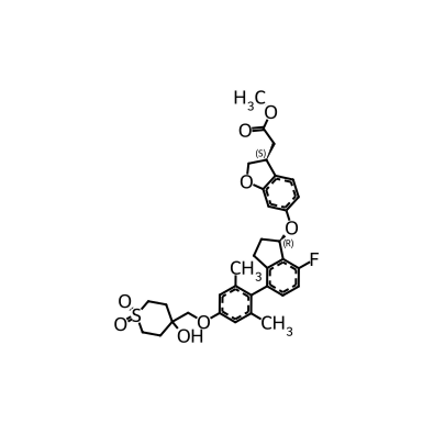 COC(=O)C[C@@H]1COc2cc(O[C@@H]3CCc4c(-c5c(C)cc(OCC6(O)CCS(=O)(=O)CC6)cc5C)ccc(F)c43)ccc21